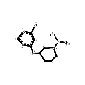 CB(O)N1CCCC(Nc2cc(Cl)ncn2)C1